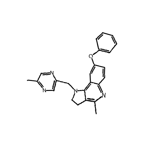 Cc1cnc(CN2CCc3c(C)nc4ccc(Oc5ccccc5)cc4c32)cn1